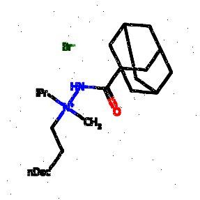 CCCCCCCCCCCC[N+](C)(NC(=O)C12CC3CC(CC(C3)C1)C2)C(C)C.[Br-]